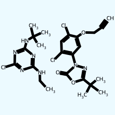 C#CCOc1cc(-n2nc(C(C)(C)C)oc2=O)c(Cl)cc1Cl.CCNc1nc(Cl)nc(NC(C)(C)C)n1